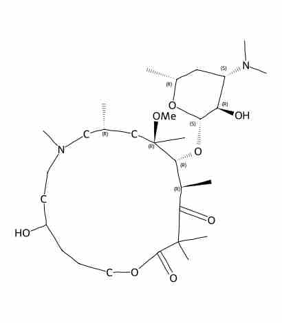 CO[C@]1(C)C[C@@H](C)CN(C)CCC(O)CCCOC(=O)C(C)(C)C(=O)[C@H](C)[C@H]1O[C@@H]1O[C@H](C)C[C@H](N(C)C)[C@H]1O